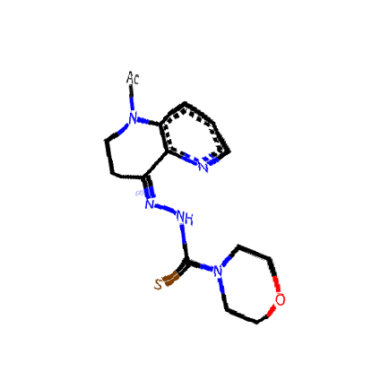 CC(=O)N1CC/C(=N/NC(=S)N2CCOCC2)c2ncccc21